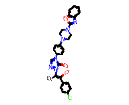 CCC(C(=O)c1ccc(Cl)cc1)n1ncn(-c2ccc(N3CCN(c4nc5ccccc5o4)CC3)cc2)c1=O